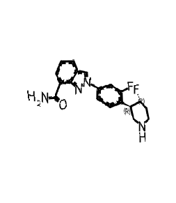 NC(=O)c1cccc2cn(-c3ccc([C@@H]4CNCC[C@H]4F)c(F)c3)nc12